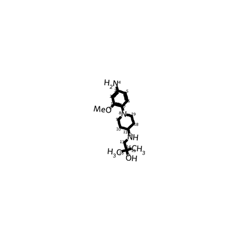 COc1cc(N)ccc1N1CCC(NCC(C)(C)O)CC1